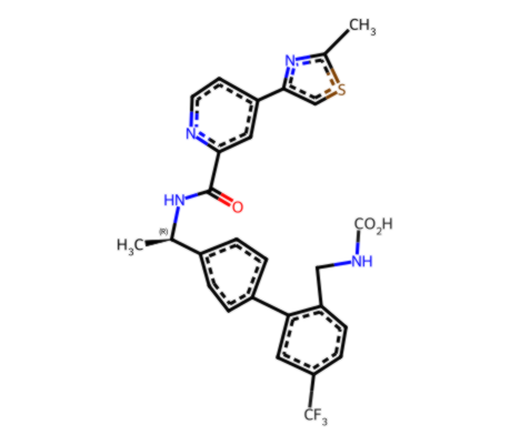 Cc1nc(-c2ccnc(C(=O)N[C@H](C)c3ccc(-c4cc(C(F)(F)F)ccc4CNC(=O)O)cc3)c2)cs1